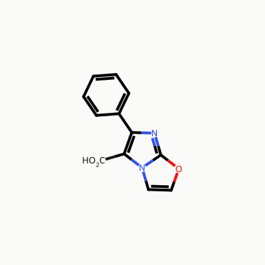 O=C(O)c1c(-c2ccccc2)nc2occn12